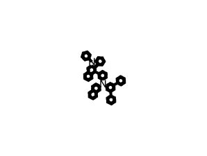 c1ccc(-c2cc(-c3ccccc3)cc(N(c3cccc(-c4c5ccccc5cc5c4c4ccccc4n5-c4ccccc4)c3)c3ccc4ccccc4c3)c2)cc1